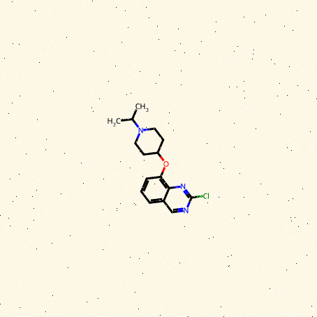 CC(C)N1CCC(Oc2cccc3cnc(Cl)nc23)CC1